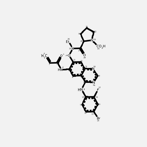 C=CC(=O)Nc1cc2c(Nc3ccc(Br)cc3F)ncnc2cc1ON(CC)C(=O)C1CCCN1C(=O)O